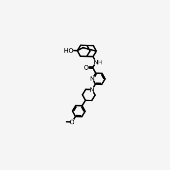 COc1ccc(C2CCN(c3cccc(C(=O)NC4C5CC6CC4CC(O)(C6)C5)n3)CC2)cc1